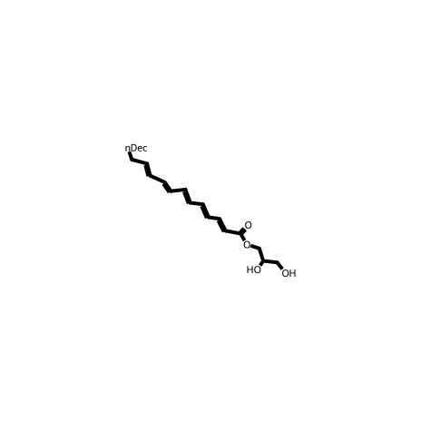 CCCCCCCCCCC/C=C/C=C/C=C/C=C/C=C/C(=O)OCC(O)CO